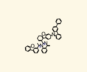 C=C(/N=C(\N=C(/C)c1cccc2c1oc1ccccc12)C1=CCCc2oc3c(c21)=CCC(n1c2ccccc2c2cc(-c4ccccc4)ccc21)C=3)c1ccccc1